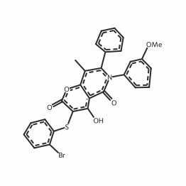 COc1cccc(-n2c(-c3ccccc3)c(C)c3oc(=O)c(Sc4ccccc4Br)c(O)c3c2=O)c1